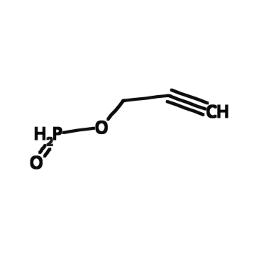 C#CCO[PH2]=O